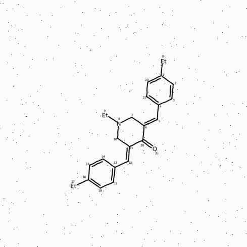 CCc1ccc(C=C2CN(CC)CC(=Cc3ccc(CC)cc3)C2=O)cc1